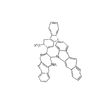 CC1Cc2c(sc3ccccc23)C=C1C1=Nc2sc3ccccc3c2NC1n1c2ccccc2c2cc3ccccc3cc21